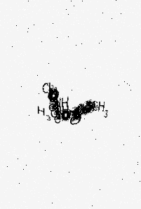 C[C@@H](NC(=O)Nc1ccc(Cl)cc1)C(=O)N1CCC(N2CN3CN(C)C=C3C2=O)CC1